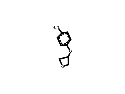 Nc1ccc(OC2COC2)cc1